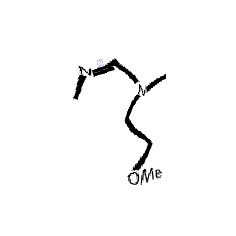 C/N=C\N(C)CCOC